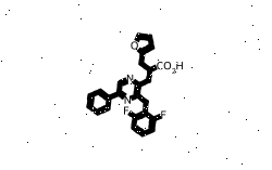 O=C(O)C(Cc1ccco1)Cc1ncc(-c2ccccc2)nc1Cc1c(F)cccc1F